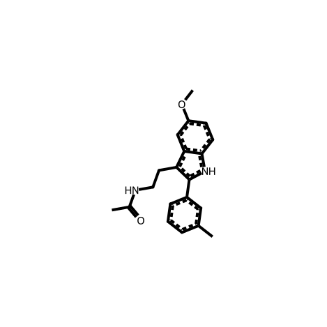 COc1ccc2[nH]c(-c3cccc(C)c3)c(CCNC(C)=O)c2c1